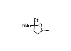 CCCCC1(CC)CCC(C)O1